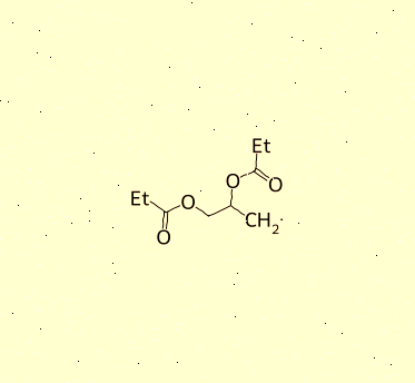 [CH2]C(COC(=O)CC)OC(=O)CC